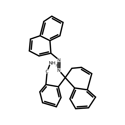 NCc1ccccc1C1(N=Nc2cccc3ccccc23)CC=Cc2ccccc21